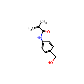 C=C(C)C(=O)Nc1ccc(CO)cc1